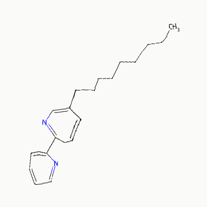 CCCCCCCCCc1ccc(-c2ccccn2)nc1